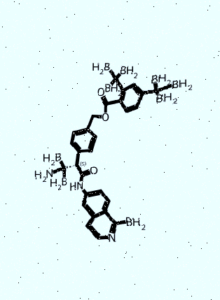 Bc1nccc2cc(NC(=O)[C@@H](c3ccc(COC(=O)c4ccc(C(B)(B)B)cc4C(B)(B)B)cc3)C(B)(B)N)ccc12